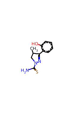 CC1CN(C(N)=S)N=C1c1ccccc1O